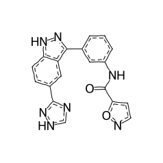 O=C(Nc1cccc(-c2n[nH]c3ccc(-c4nc[nH]n4)cc23)c1)c1ccno1